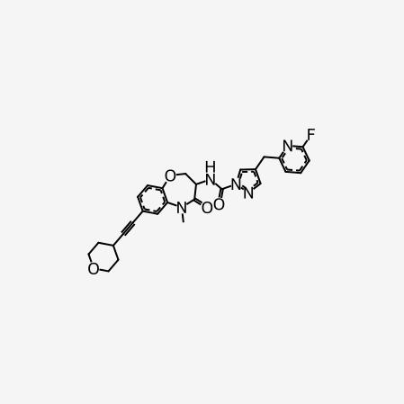 CN1C(=O)C(NC(=O)n2cc(Cc3cccc(F)n3)cn2)COc2ccc(C#CC3CCOCC3)cc21